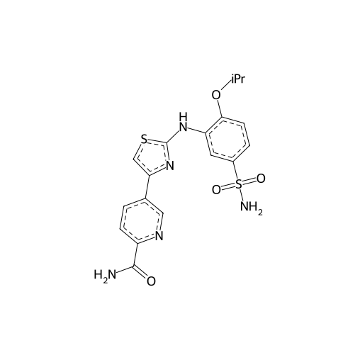 CC(C)Oc1ccc(S(N)(=O)=O)cc1Nc1nc(-c2ccc(C(N)=O)nc2)cs1